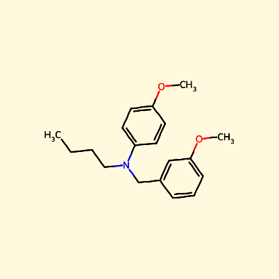 CCCCN(Cc1cccc(OC)c1)c1ccc(OC)cc1